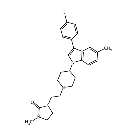 Cc1ccc2c(c1)c(-c1ccc(F)cc1)cn2C1CCN(CCN2CCN(C)C2=O)CC1